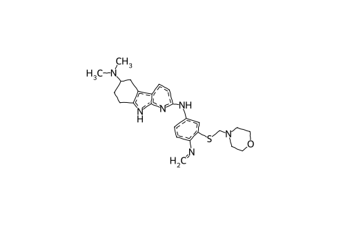 C=Nc1ccc(Nc2ccc3c4c([nH]c3n2)CCC(N(C)C)C4)cc1SCN1CCOCC1